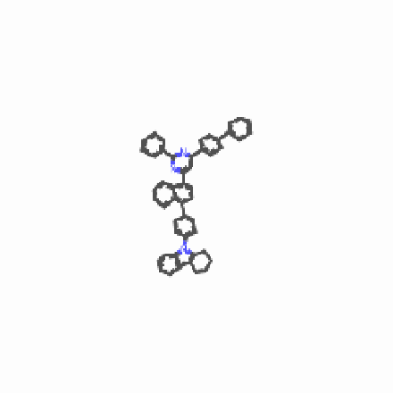 C1=Cc2c(n(-c3ccc(-c4ccc(-c5cc(-c6ccc(-c7ccccc7)cc6)nc(-c6ccccc6)n5)c5ccccc45)cc3)c3ccccc23)CC1